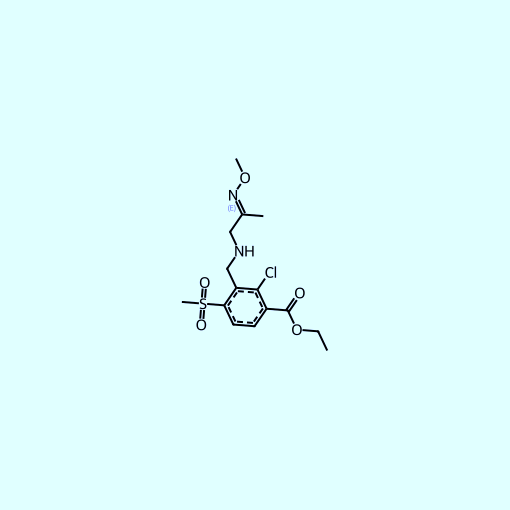 CCOC(=O)c1ccc(S(C)(=O)=O)c(CNC/C(C)=N/OC)c1Cl